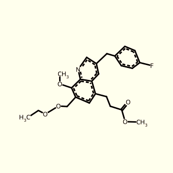 CCOOCc1cc(CCC(=O)OC)c2cc(Cc3ccc(F)cc3)cnc2c1OC